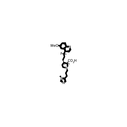 COc1ccc2nccc([C@H](F)CC[C@@H]3CCN(CCCc4cncn4C)C[C@@H]3C(=O)O)c2c1